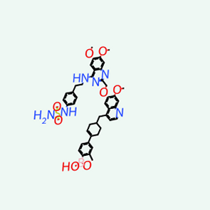 COc1cc2nc(COc3cc4c(CC5CC=C(c6ccc7c(c6)COB7O)CC5)ccnc4cc3OC)nc(NCCc3ccc(NS(N)(=O)=O)cc3)c2cc1OC